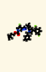 CC(C)(C)[C@@H](NCC1CN(C(=O)OCC[Si](C)(C)C)C[C@@H]1F)c1cc(-c2cc(F)ccc2F)cn1Cc1ccccc1